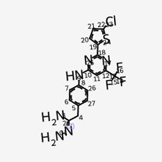 N/N=C(\N)Cc1ccc(Nc2cc(C(F)(F)F)nc(-c3ccc(Cl)s3)n2)cc1